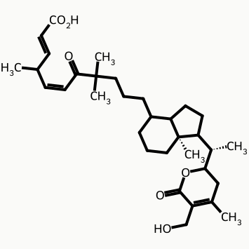 CC1=C(CO)C(=O)OC([C@@H](C)C2CCC3C(CCCC(C)(C)C(=O)/C=C\C(C)/C=C/C(=O)O)CCC[C@@]32C)C1